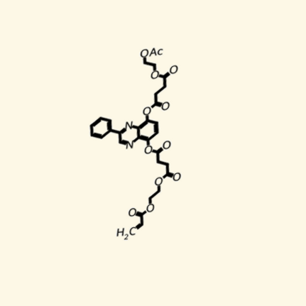 C=CC(=O)OCCOC(=O)CCC(=O)Oc1ccc(OC(=O)CCC(=O)OCCOC(C)=O)c2nc(-c3ccccc3)cnc12